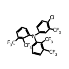 FC(F)(F)c1cc(N(c2cccc(C(F)(F)F)c2C(F)(F)F)c2cccc(C(F)(F)F)c2C(F)(F)F)ccc1Cl